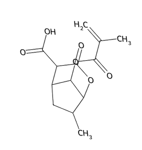 C=C(C)C(=O)OC1C2CC(C)C1OC(=O)C2C(=O)O